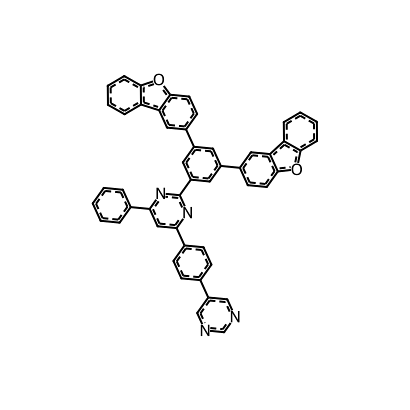 c1ccc(-c2cc(-c3ccc(-c4cncnc4)cc3)nc(-c3cc(-c4ccc5oc6ccccc6c5c4)cc(-c4ccc5oc6ccccc6c5c4)c3)n2)cc1